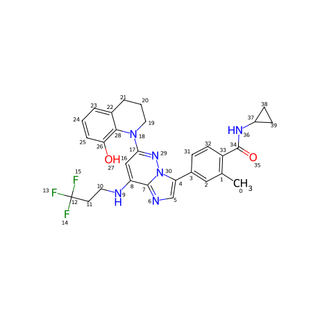 Cc1cc(-c2cnc3c(NCCC(F)(F)F)cc(N4CCCc5cccc(O)c54)nn23)ccc1C(=O)NC1CC1